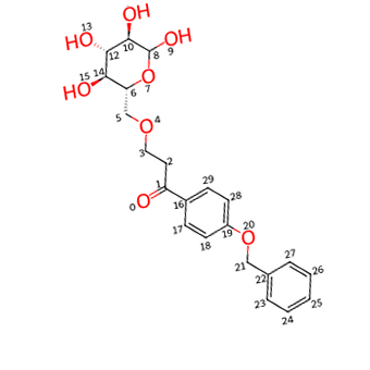 O=C(CCOC[C@H]1OC(O)[C@H](O)[C@@H](O)[C@@H]1O)c1ccc(OCc2ccccc2)cc1